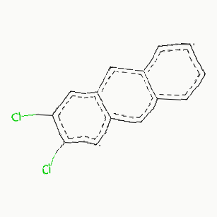 Clc1[c]c2cc3cc[c]cc3cc2cc1Cl